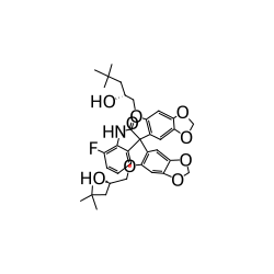 CC(C)(C)C[C@@H](O)COc1cc2c(cc1C1(c3cc4c(cc3OC[C@H](O)CC(C)(C)C)OCO4)C(=O)Nc3c(F)cccc31)OCO2